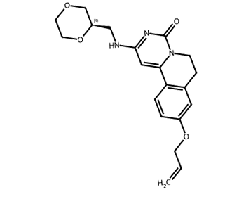 C=CCOc1ccc2c(c1)CCn1c-2cc(NC[C@@H]2COCCO2)nc1=O